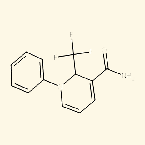 NC(=O)C1=CC=CN(c2ccccc2)C1C(F)(F)F